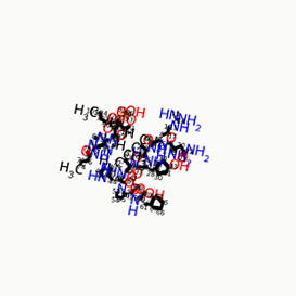 CC(C)[C@H](NC(=O)[C@H](CCCNC(=N)N)NC(=O)[C@@H](N)CC(N)=O)C(=O)N[C@@H](Cc1ccc(O)cc1)C(=O)N[C@H](C(=O)N[C@@H](Cc1cnc[nH]1)C(=O)N1CCC[C@H]1C(=O)N[C@@H](Cc1ccccc1)C(=O)O)C(C)C.CCCC(=O)Nc1ncnc2c1ncn2[C@@H]1O[C@@H]2COP(=O)(O)O[C@H]2[C@H]1OC(=O)CCC